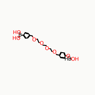 OBOc1ccc(COCCOCCOCCOCc2ccc(B(O)O)cc2)cc1